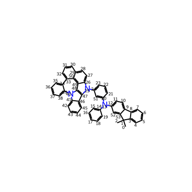 CC1(C)c2ccccc2-c2ccc(N(c3ccccc3)c3cccc(-n4c5ccc6cccc7c8ccccc8n8c9ccccc9c4c8c5c67)c3)cc21